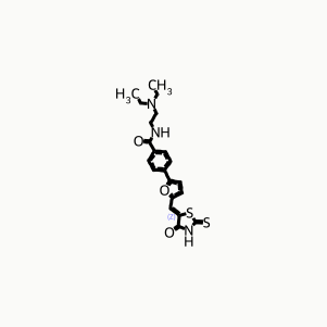 CCN(CC)CCNC(=O)c1ccc(-c2ccc(/C=C3\SC(=S)NC3=O)o2)cc1